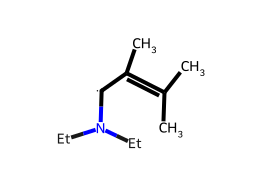 CCN([CH]C(C)=C(C)C)CC